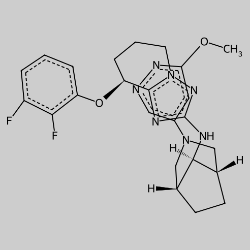 COc1cc(N2C[C@H]3CC[C@@H](C2)[C@@H]3Nc2nc3n(n2)CCC[C@@H]3Oc2cccc(F)c2F)cnn1